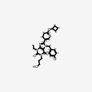 CCn1c(=O)n(CCCO)c(=O)c2c1nc(C1=CN=C(OC3CCC3)CC1)n2CC1=C=C=C(F)C=C1